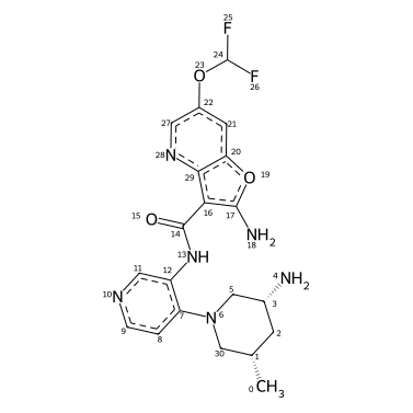 C[C@H]1C[C@@H](N)CN(c2ccncc2NC(=O)c2c(N)oc3cc(OC(F)F)cnc23)C1